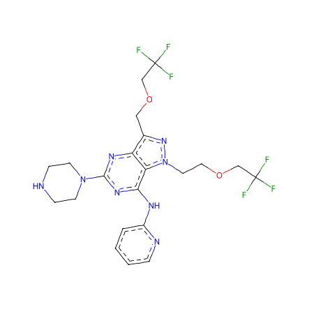 FC(F)(F)COCCn1nc(COCC(F)(F)F)c2nc(N3CCNCC3)nc(Nc3ccccn3)c21